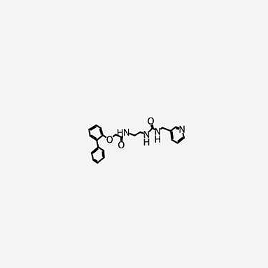 O=C(COc1ccccc1-c1ccccc1)NCCNC(=O)NCc1cccnc1